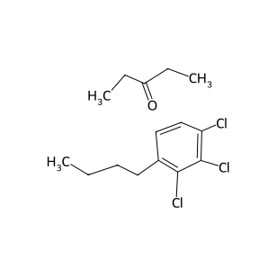 CCC(=O)CC.CCCCc1ccc(Cl)c(Cl)c1Cl